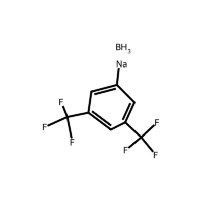 B.FC(F)(F)c1c[c]([Na])cc(C(F)(F)F)c1